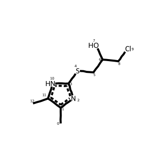 Cc1nc(SCC(O)CCl)[nH]c1C